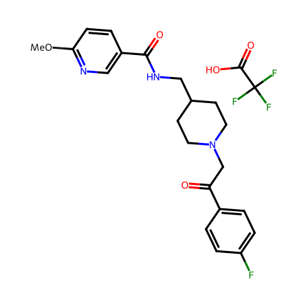 COc1ccc(C(=O)NCC2CCN(CC(=O)c3ccc(F)cc3)CC2)cn1.O=C(O)C(F)(F)F